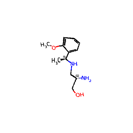 COc1ccccc1[C@H](C)NC[C@H](N)CO